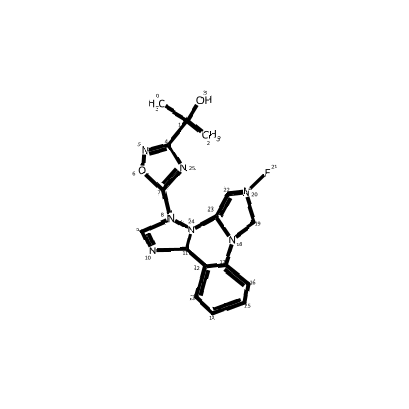 CC(C)(O)c1noc(N2C=NC3c4ccccc4N4CN(F)C=C4N32)n1